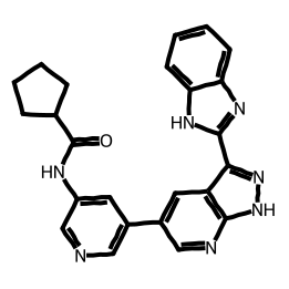 O=C(Nc1cncc(-c2cnc3[nH]nc(-c4nc5ccccc5[nH]4)c3c2)c1)C1CCCC1